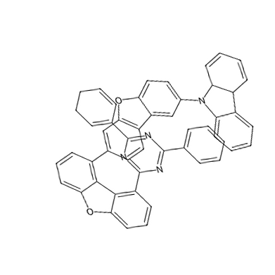 C1=CC2c3ccccc3N(c3ccc4oc5cc(-c6cccc7oc8cccc(-c9nc(C%10=CCCC=C%10)nc(-c%10ccccc%10)n9)c8c67)ccc5c4c3)C2C=C1